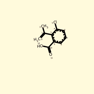 C=C(C)c1c(Cl)cccc1C(=O)O